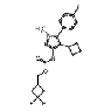 Cn1nc(NC(=O)OCC2CC(F)(F)C2)c(C2CCC2)c1-c1ccc(F)cc1